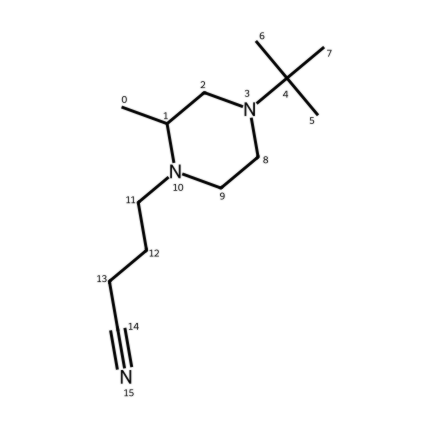 CC1CN(C(C)(C)C)CCN1CCCC#N